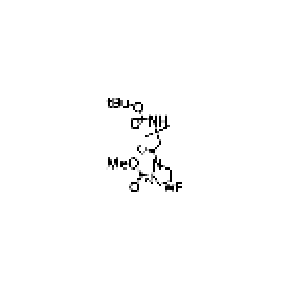 COC(=O)[C@@H]1C[C@@H](F)CN1C(=O)CC(C)(C)NC(=O)OC(C)(C)C